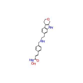 O=C(/C=C/c1ccc(CNCCc2ccc3c4c([nH]c3c2)COCC4)cc1)NO